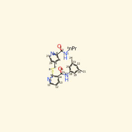 CCCNC(=O)c1cc(CSc2ncccc2C(=O)Nc2cc(C)cc(C)c2)ccn1